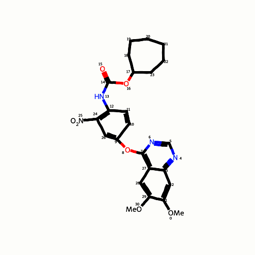 COc1cc2ncnc(Oc3ccc(NC(=O)OC4CCCCCC4)c([N+](=O)[O-])c3)c2cc1OC